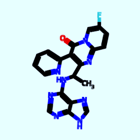 CC(Nc1ncnc2[nH]cnc12)c1nc2ccc(F)cn2c(=O)c1-c1ccccn1